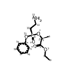 CCOC(=O)[C@H](C)OP(=O)(CCN)Oc1ccccc1